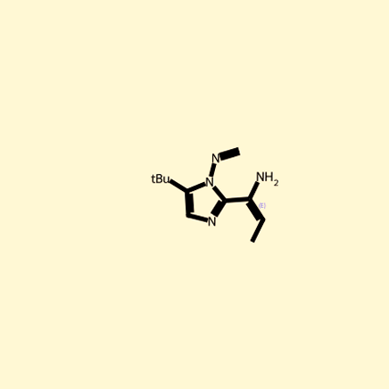 C=Nn1c(C(C)(C)C)cnc1/C(N)=C\C